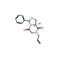 C=CCN1CC(=O)N2C(c3ccccc3)OC[C@H]2C1=O